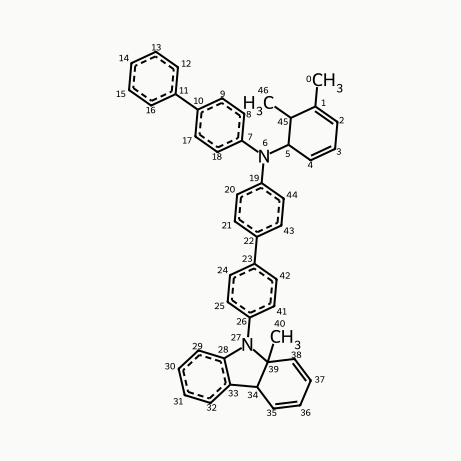 CC1=CC=CC(N(c2ccc(-c3ccccc3)cc2)c2ccc(-c3ccc(N4c5ccccc5C5C=CC=CC54C)cc3)cc2)C1C